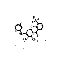 CC1C(N)=C(Nc2cc(F)ccn2)CCN1C(=O)c1cccc(C(F)(F)F)c1Cl